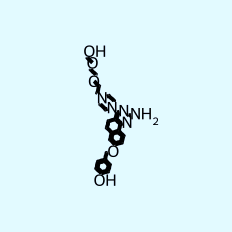 Nc1nc2c(c(N3CCN(CCOCCOCO)CC3)n1)CCc1cc(OCc3ccc(O)cc3)ccc1-2